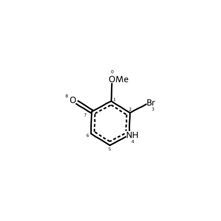 COc1c(Br)[nH]ccc1=O